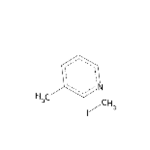 CI.Cc1cccnc1